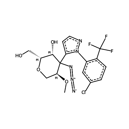 CO[C@H]1CO[C@H](CO)[C@H](O)C1(N=[N+]=[N-])c1ccnn1-c1cc(Cl)ccc1C(F)(F)F